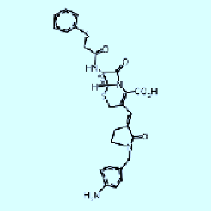 Nc1ccc(CN2CCC(=CC3=C(C(=O)O)N4C(=O)[C@@H](NC(=O)CSc5ccccc5)[C@H]4SC3)C2=O)cc1